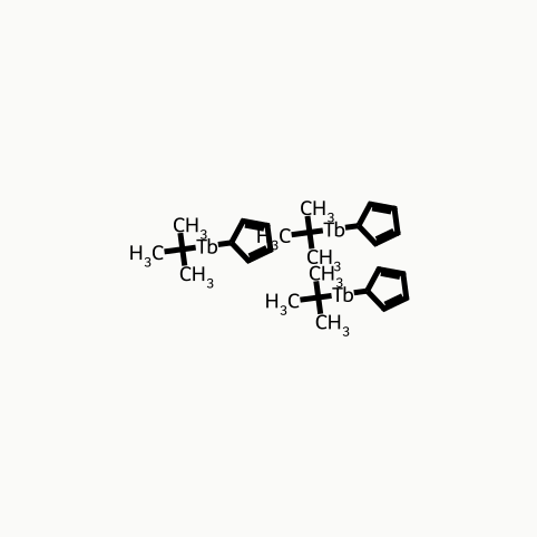 C[C](C)(C)[Tb][CH]1C=CC=C1.C[C](C)(C)[Tb][CH]1C=CC=C1.C[C](C)(C)[Tb][CH]1C=CC=C1